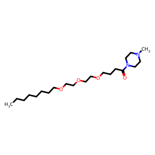 CCCCCCCCOCCOCCOCCCC(=O)N1CCN(C)CC1